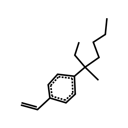 C=Cc1ccc(C(C)(CC)CCCC)cc1